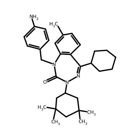 Cc1ccc2c(c1)N(Cc1ccc(N)cc1)C(=O)N(C1CC(C)(C)CC(C)(C)C1)N=C2C1CCCCC1